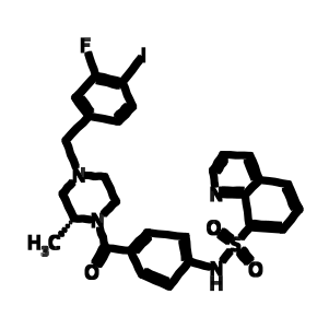 C[C@@H]1CN(Cc2ccc(I)c(F)c2)CCN1C(=O)c1ccc(NS(=O)(=O)c2cccc3cccnc23)cc1